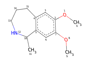 COc1cc2c(cc1OC)C(C)NCCC2